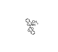 CC(NC(=O)[C@@H]1COc2ccccc2O1)c1ccccc1